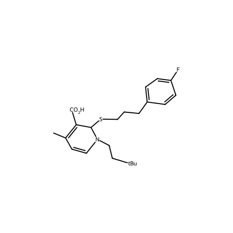 CC1=C(C(=O)O)C(SCCCc2ccc(F)cc2)N(CCC(C)(C)C)C=C1